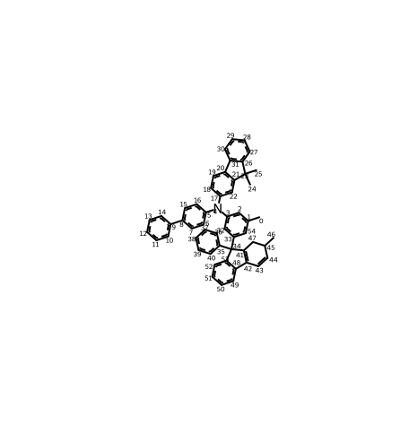 Cc1cc(N(c2ccc(-c3ccccc3)cc2)c2ccc3c(c2)C(C)(C)c2ccccc2-3)cc(C2(c3ccccc3)C3=C(C=CC(C)C3)c3ccccc32)c1